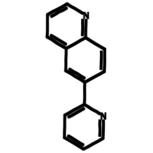 c1ccc(-c2ccc3ncccc3c2)nc1